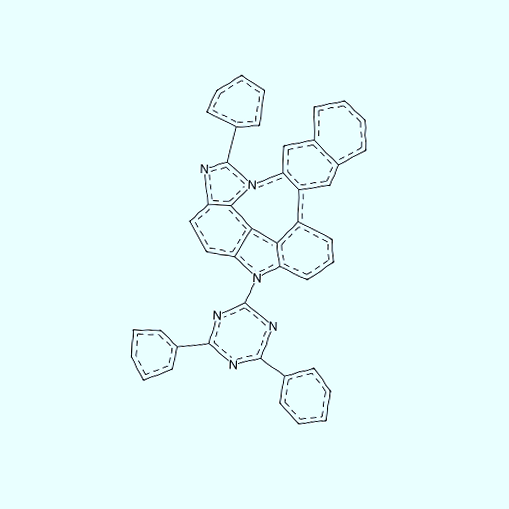 c1ccc(-c2nc(-c3ccccc3)nc(-n3c4cccc5c6cc7ccccc7cc6n6c(-c7ccccc7)nc7ccc3c(c54)c76)n2)cc1